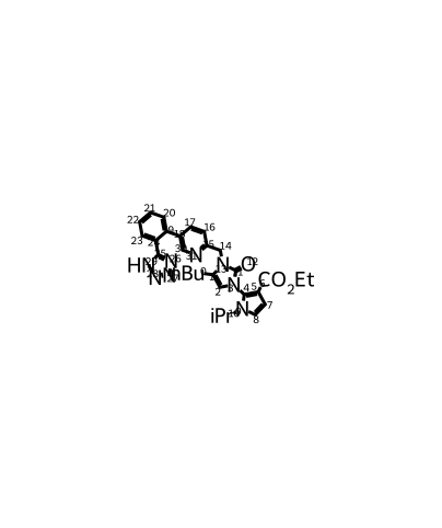 CCCCc1cn(-c2c(C(=O)OCC)ccn2C(C)C)c(=O)n1Cc1ccc(-c2ccccc2-c2nnn[nH]2)cn1